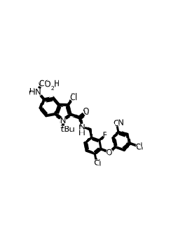 CC(C)(C)n1c(C(=O)NCc2ccc(Cl)c(Oc3cc(Cl)cc(C#N)c3)c2F)c(Cl)c2cc(NC(=O)O)ccc21